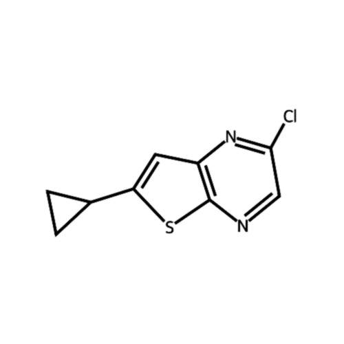 Clc1cnc2sc(C3CC3)cc2n1